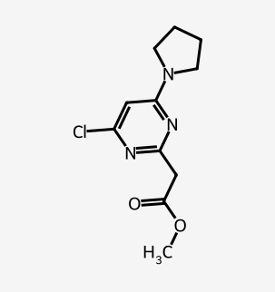 COC(=O)Cc1nc(Cl)cc(N2CCCC2)n1